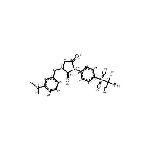 CNc1cc(CN2CC(=O)N(c3ccc(S(=O)(=O)C(F)(F)F)cc3)C2=O)ccn1